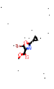 COC(=O)c1nc(C2CC2)oc1Br